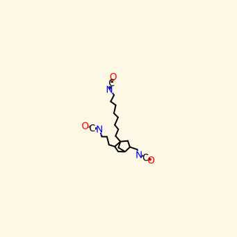 O=C=NCCCCCCCCC12CC(CN=C=O)C(CC1CCCN=C=O)C2